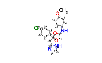 COc1ccc(NC2COC(Cc3ncc[nH]3)(c3ccc(Cl)cc3)O2)cc1